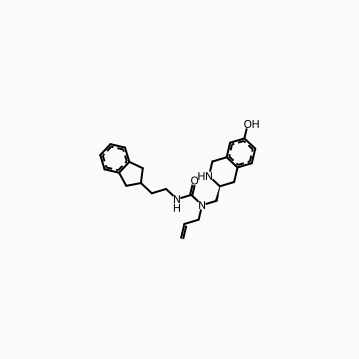 C=CCN(C[C@@H]1Cc2ccc(O)cc2CN1)C(=O)NCCC1Cc2ccccc2C1